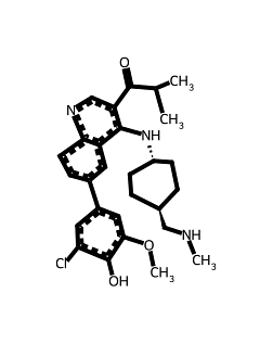 CNC[C@H]1CC[C@H](Nc2c(C(=O)C(C)C)cnc3ccc(-c4cc(Cl)c(O)c(OC)c4)cc23)CC1